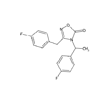 CC(c1ccc(F)cc1)n1c(Cc2ccc(F)cc2)noc1=O